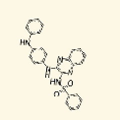 O=S(=O)(Nc1nc2ccccc2nc1Nc1ccc(Nc2ccccc2)cc1)c1ccccc1